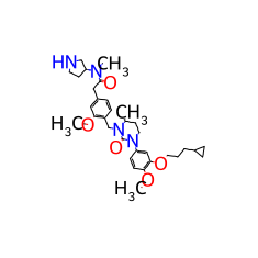 COc1cc(CC(=O)N(C)[C@H]2CCNC2)ccc1CN1C(=O)N(c2ccc(OC)c(OCCCC3CC3)c2)CC[C@@H]1C